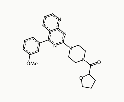 COc1cccc(-c2nc(N3CCN(C(=O)C4CCCO4)CC3)nc3ncccc23)c1